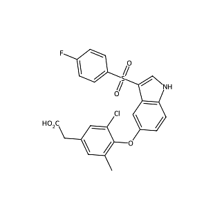 Cc1cc(CC(=O)O)cc(Cl)c1Oc1ccc2[nH]cc(S(=O)(=O)c3ccc(F)cc3)c2c1